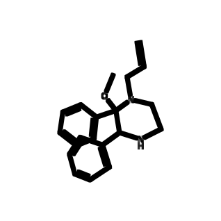 C=CCN1CCNC(c2ccccc2)C1(OC)c1ccccc1